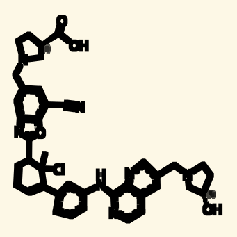 CC1(Cl)C(c2cccc(Nc3nccc4cc(CN5CC[C@H](O)C5)cnc34)c2)=CC=CC1c1nc2cc(CN3CC[C@@H](C(=O)O)C3)cc(C#N)c2o1